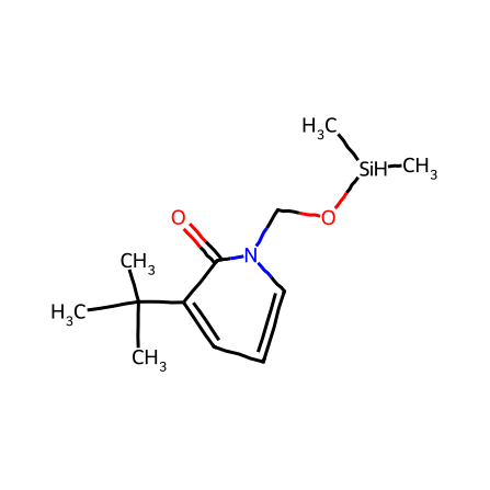 C[SiH](C)OCn1cccc(C(C)(C)C)c1=O